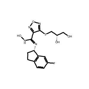 OC[C@H](O)CSc1nonc1C(=N[C@H]1CCc2ccc(F)cc21)NO